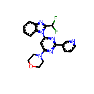 FC(F)c1nc2ccccc2n1-c1cc(N2CCOCC2)nc(-c2cccnc2)n1